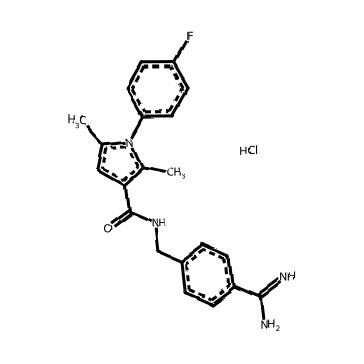 Cc1cc(C(=O)NCc2ccc(C(=N)N)cc2)c(C)n1-c1ccc(F)cc1.Cl